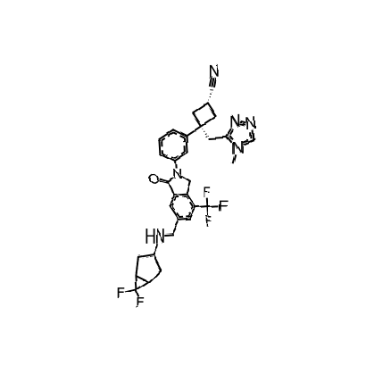 Cn1cnnc1C[C@]1(c2cccc(N3Cc4c(cc(CNC5CC6C(C5)C6(F)F)cc4C(F)(F)F)C3=O)c2)C[C@H](C#N)C1